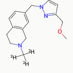 [2H]C([2H])([2H])N1CCc2ccc(Cn3ccc(COC)n3)cc2C1